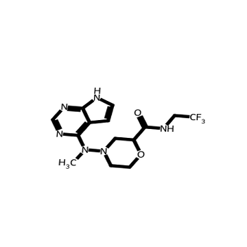 CN(c1ncnc2[nH]ccc12)N1CCOC(C(=O)NCC(F)(F)F)C1